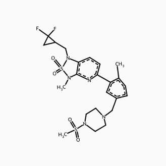 Cc1ccc(CN2CCN(S(C)(=O)=O)CC2)cc1-c1ccc2c(n1)N(C)S(=O)(=O)N2CC1CC1(F)F